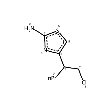 CCCC(CCl)c1csc(N)n1